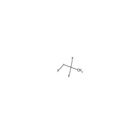 CC(F)(F)[CH]F